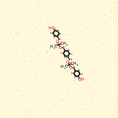 CC(C)(OCc1ccc(O)cc1)OCc1ccc(COC(C)(C)OCc2ccc(O)cc2)cc1